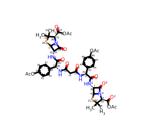 CC(=O)OC(=O)[C@@H]1N2C(=O)[C@@H](NC(=O)[C@@H](NC(=O)CC(=O)N[C@@H](C(=O)N[C@H]3C(=O)N4C3SC(C)(C)[C@H]4C(=O)OC(C)=O)c3ccc(OC(C)=O)cc3)c3ccc(OC(C)=O)cc3)C2SC1(C)C